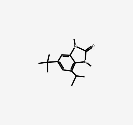 CC(C)c1cc(C(C)(C)C)cc2c1n(C)c(=O)n2C